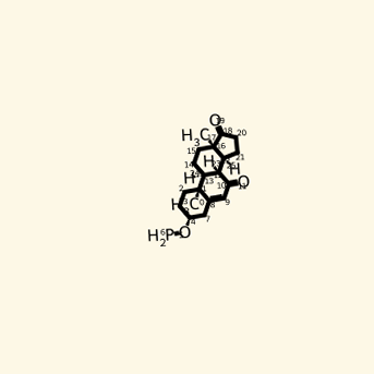 C[C@]12CC[C@H](OP)CC1=CC(=O)[C@@H]1[C@@H]2CC[C@]2(C)C(=O)CC[C@@H]12